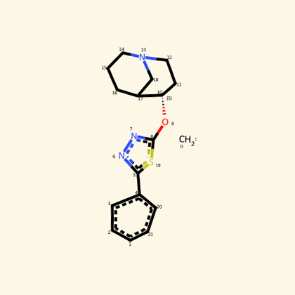 [CH2].c1ccc(-c2nnc(O[C@H]3CCN4CCCC3C4)s2)cc1